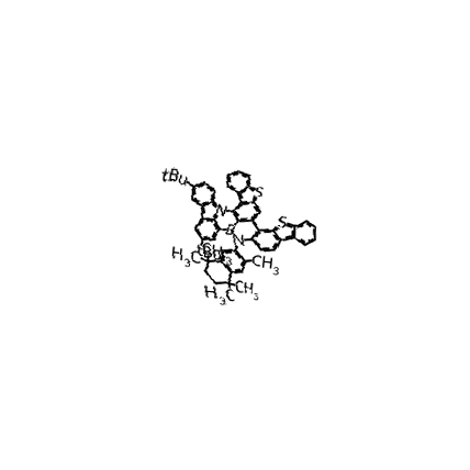 Cc1cc2c(cc1N1B3c4c(cc5sc6ccccc6c5c4-n4c5ccc(C(C)(C)C)cc5c5cc(C(C)(C)C)cc3c54)-c3c1ccc1c3sc3ccccc31)C(C)(C)CCC2(C)C